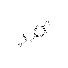 NC(=O)Sc1ccc(C(F)(F)F)cc1